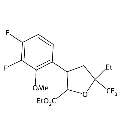 CCOC(=O)C1OC(CC)(C(F)(F)F)CC1c1ccc(F)c(F)c1OC